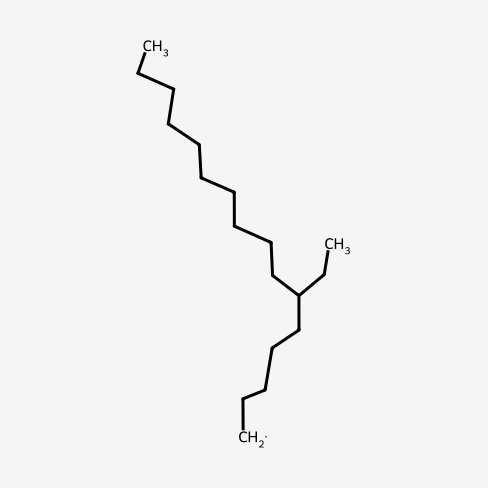 [CH2]CCCCC(CC)CCCCCCCCCC